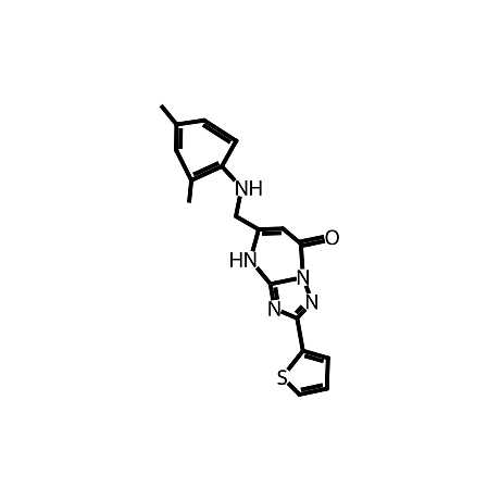 Cc1ccc(NCc2cc(=O)n3nc(-c4cccs4)nc3[nH]2)c(C)c1